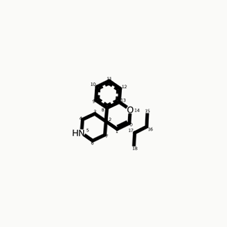 C1=CC2(CCNCC2)c2ccccc2O1.CCCC